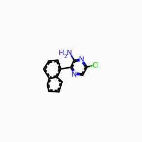 Nc1nc(Cl)cnc1-c1cccc2ccccc12